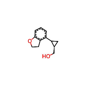 OC[C@@H]1CC1c1cccc2c1CCO2